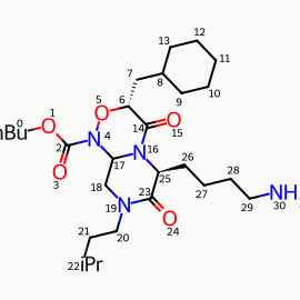 CCCCOC(=O)N1O[C@H](CC2CCCCC2)C(=O)N2C1CN(CCC(C)C)C(=O)[C@@H]2CCCCN